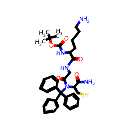 CC(C)(C)OC(=O)NC(CCCCN)C(=O)NCC(=O)N(C(CS)C(N)=O)C(c1ccccc1)(c1ccccc1)c1ccccc1